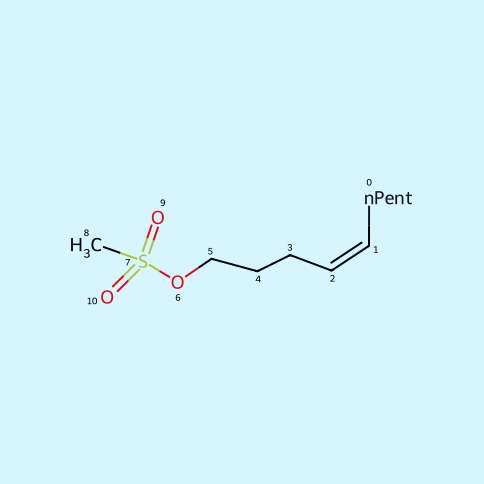 CCCCC/C=C\CCCOS(C)(=O)=O